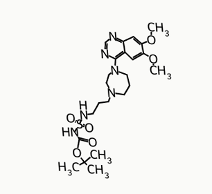 COc1cc2ncnc(N3CCCN(CCCNS(=O)(=O)NC(=O)OC(C)(C)C)CC3)c2cc1OC